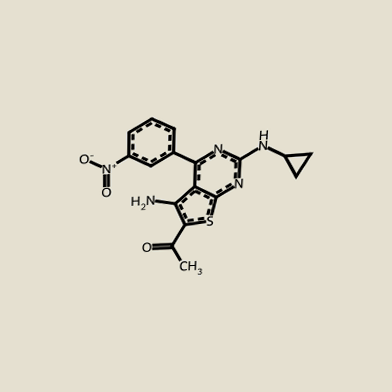 CC(=O)c1sc2nc(NC3CC3)nc(-c3cccc([N+](=O)[O-])c3)c2c1N